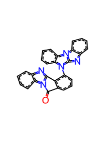 O=C1c2cccc(-n3c4ccccc4n4c5ccccc5nc34)c2-c2nc3ccccc3n21